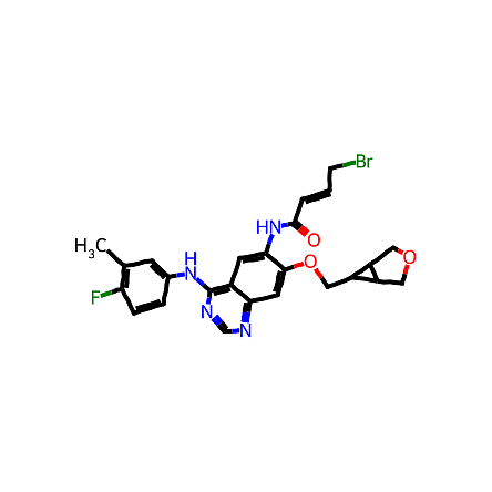 Cc1cc(Nc2ncnc3cc(OCC4C5COCC54)c(NC(=O)/C=C/CBr)cc23)ccc1F